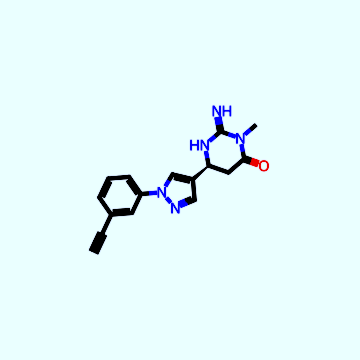 C#Cc1cccc(-n2cc([C@@H]3CC(=O)N(C)C(=N)N3)cn2)c1